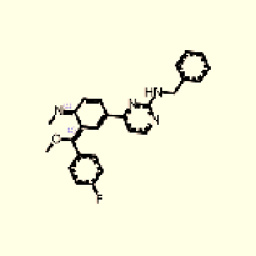 C/N=C1/C=CC(c2ccnc(NCc3ccccc3)n2)=C/C1=C(/OC)c1ccc(F)cc1